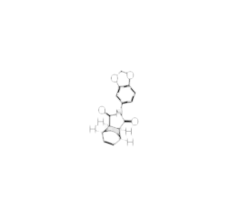 O=C1[C@@H]2[C@H](C(=O)N1c1ccc3c(c1)OCO3)[C@@H]1C=C[C@H]2CC1